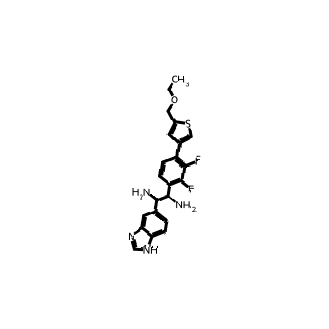 CCOCc1cc(-c2ccc(C(N)C(N)c3ccc4[nH]cnc4c3)c(F)c2F)cs1